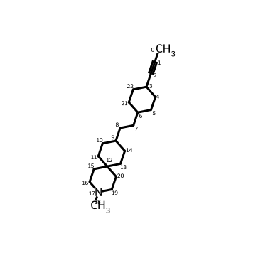 CC#CC1CCC(CCC2CCC3(CC2)CCN(C)CC3)CC1